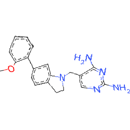 COc1ccccc1-c1ccc2c(c1)N(Cc1cnc(N)nc1N)CC2